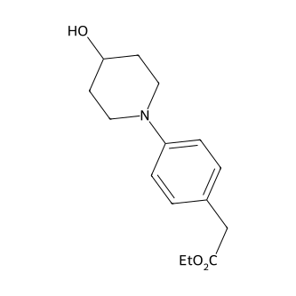 CCOC(=O)Cc1ccc(N2CCC(O)CC2)cc1